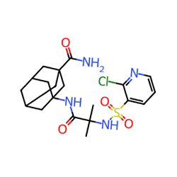 CC(C)(NS(=O)(=O)c1cccnc1Cl)C(=O)NC12CC3CC(C1)CC(C(N)=O)(C3)C2